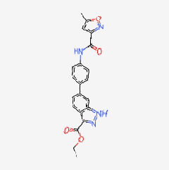 CCOC(=O)c1n[nH]c2cc(-c3ccc(NC(=O)c4cc(C)on4)cc3)ccc12